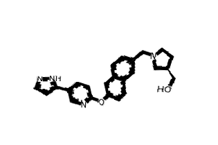 OC[C@@H]1CCN(Cc2ccc3cc(Oc4ccc(-c5ccn[nH]5)cn4)ccc3c2)C1